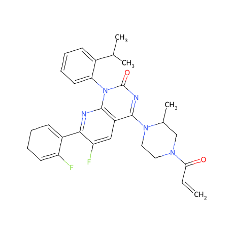 C=CC(=O)N1CCN(c2nc(=O)n(-c3ccccc3C(C)C)c3nc(C4=CCCC=C4F)c(F)cc23)C(C)C1